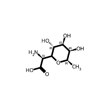 C[C@H]1OC([C@H](N)C(=O)O)[C@H](O)[C@@H](O)[C@H]1O